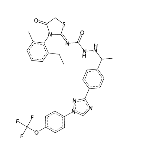 CCc1cccc(C)c1N1C(=O)CS/C1=N\C(=O)NNC(C)c1ccc(-c2ncn(-c3ccc(OC(F)(F)F)cc3)n2)cc1